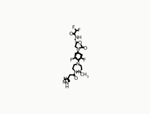 CN1CCN(c2c(F)cc(N3C[C@H](CNC(=O)C(F)F)OC3=O)cc2F)CCN1C(=O)Cc1c[nH]nn1